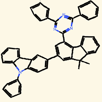 CC1(C)c2ccccc2-c2c(-c3nc(-c4ccccc4)nc(-c4ccccc4)n3)cc(-c3ccc4c(c3)c3ccccc3n4-c3ccccc3)cc21